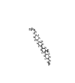 CCCC=C[C@H]1CC[C@H](c2ccc(-c3ccc([C@H]4CC[C@H](CCF)CC4)c(F)c3)cc2)CC1